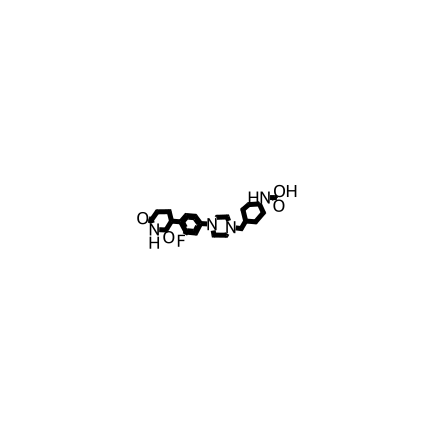 O=C(O)NC1CCC(CN2CCN(c3ccc(C4CCC(=O)NC4=O)c(F)c3)CC2)CC1